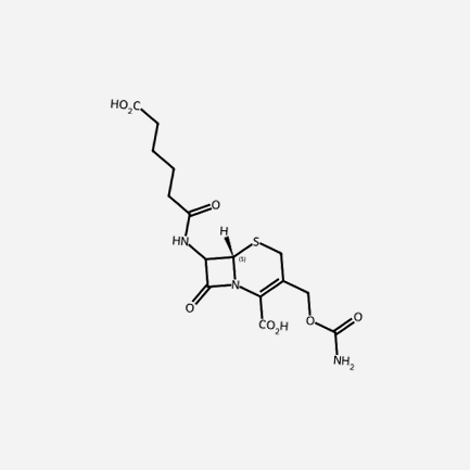 NC(=O)OCC1=C(C(=O)O)N2C(=O)C(NC(=O)CCCCC(=O)O)[C@@H]2SC1